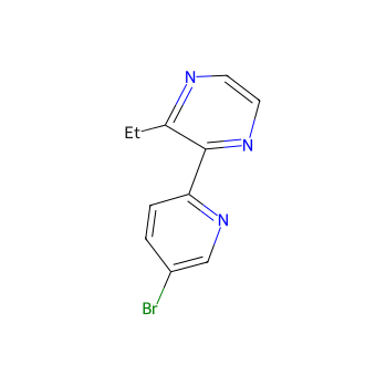 CCc1nccnc1-c1ccc(Br)cn1